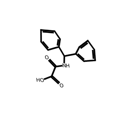 O=C(O)C(=O)NC(c1ccccc1)c1ccccc1